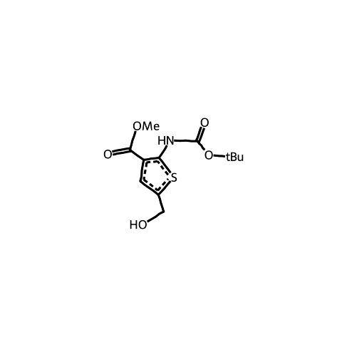 COC(=O)c1cc(CO)sc1NC(=O)OC(C)(C)C